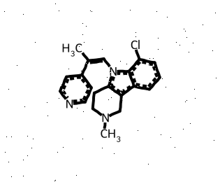 C/C(=C/n1c2c(c3cccc(Cl)c31)CN(C)CC2)c1ccncc1